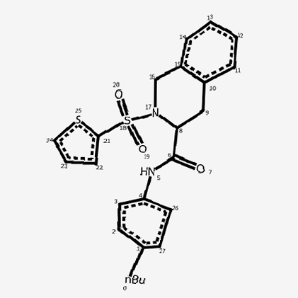 CCCCc1ccc(NC(=O)C2Cc3ccccc3CN2S(=O)(=O)c2cccs2)cc1